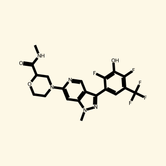 CNC(=O)C1CN(c2cc3c(cn2)c(-c2cc(C(F)(F)F)c(F)c(O)c2F)nn3C)CCO1